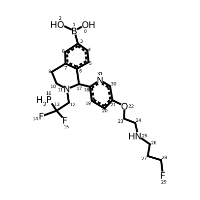 OB(O)c1ccc2c(c1)CCN(CC(F)(F)P)C2c1ccc(OCCNCCCF)cn1